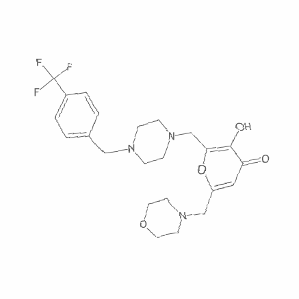 O=c1cc(CN2CCOCC2)oc(CN2CCN(Cc3ccc(C(F)(F)F)cc3)CC2)c1O